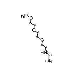 CCCOCCOCCOCCNCC(C)C